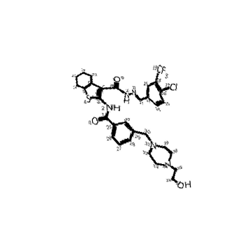 O=C(Nc1sc2c(c1C(=O)NN=Cc1ccc(Cl)c(C(F)(F)F)c1)CCCC2)c1cccc(CN2CCN(CCO)CC2)c1